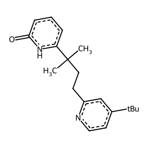 CC(C)(C)c1ccnc(CCC(C)(C)c2cccc(=O)[nH]2)c1